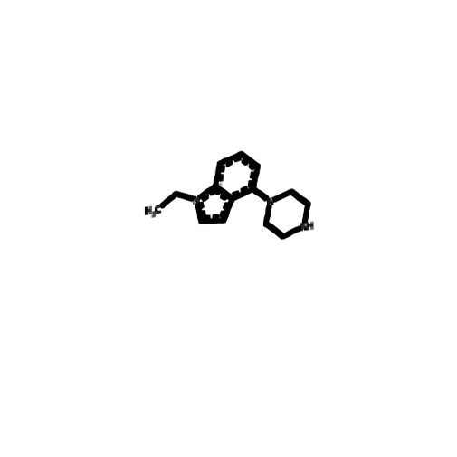 CCn1ccc2c(N3CCNCC3)cccc21